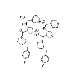 C[C@@H](N[C@@H]1CS(=O)(=O)C[C@H]1C(=O)N1CCC[C@@H](Cc2ccc(F)cc2)C1)c1ccccc1.C[C@@H](N[C@@H]1CSC[C@H]1C(=O)N1CCC[C@@H](Cc2ccc(F)cc2)C1)c1ccccc1